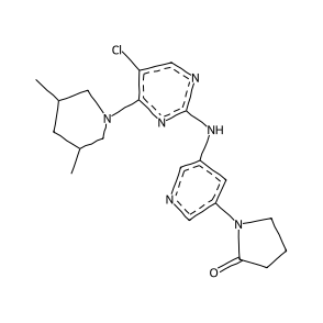 CC1CC(C)CN(c2nc(Nc3cncc(N4CCCC4=O)c3)ncc2Cl)C1